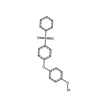 CC(C)Oc1ccc(Oc2ccc(S(=O)(=O)c3ccccc3)cc2)cc1